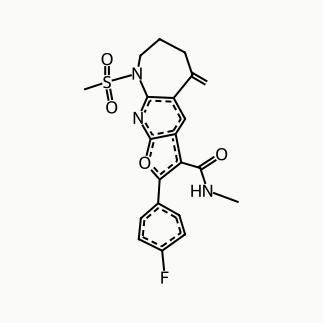 C=C1CCCN(S(C)(=O)=O)c2nc3oc(-c4ccc(F)cc4)c(C(=O)NC)c3cc21